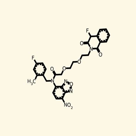 Cc1cc(F)ccc1CN(C(=O)COCCOCCN1C(=O)c2ccccc2C(F)C1=O)c1ccc([N+](=O)[O-])c2nonc12